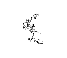 CCCCCCC(C)OCC(C)CCCC(C)[C@H]1CC[C@H]2[C@@H]3C[C@@H](NCCc4c[nH]cn4)[C@@]4(O)CCCC[C@]4(C)[C@H]3CC[C@]12C